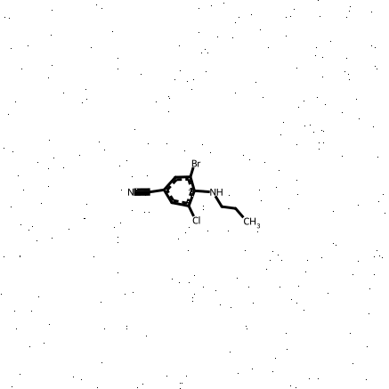 CCCNc1c(Cl)cc(C#N)cc1Br